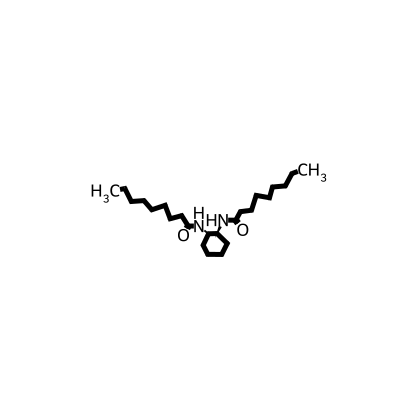 CCCCCCCCC(=O)N[C@H]1CCCC[C@@H]1NC(=O)CCCCCCCC